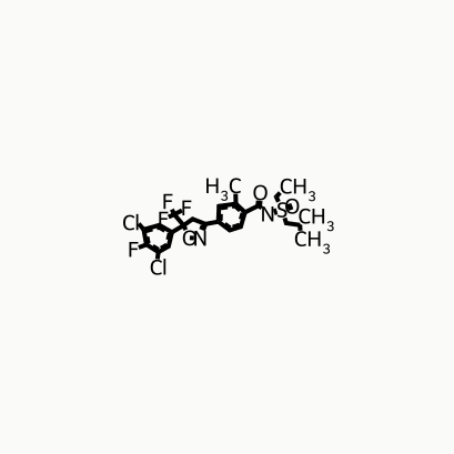 CCS(=O)(CC(C)C)=NC(=O)c1ccc(C2=NOC(c3cc(Cl)c(F)c(Cl)c3)(C(F)(F)F)C2)cc1C